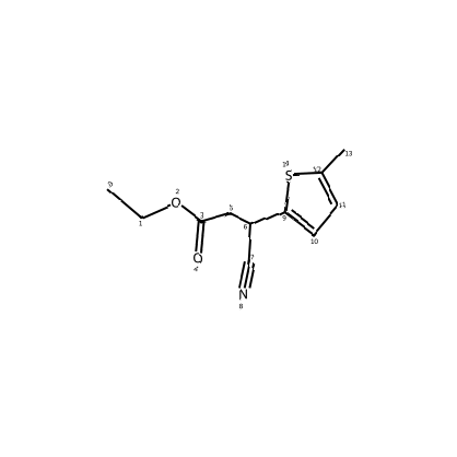 CCOC(=O)CC(C#N)c1ccc(C)s1